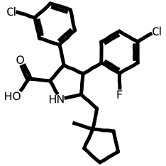 CC1(CC2NC(C(=O)O)C(c3cccc(Cl)c3)C2c2ccc(Cl)cc2F)CCCC1